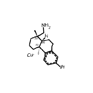 CC(C)c1ccc2c(c1)CC[C@H]1[C@@](C)(CN)CCC[C@]21C.[Cu]